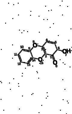 O=C1C2=C(C=CC1O)Oc1ccccc1O2